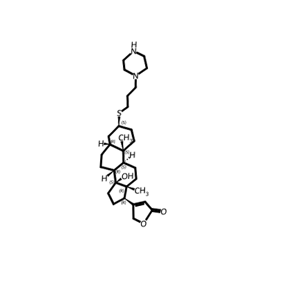 C[C@]12CC[C@H](SCCCN3CCNCC3)C[C@H]1CC[C@@H]1[C@@H]2CC[C@]2(C)[C@@H](C3=CC(=O)OC3)CC[C@]12O